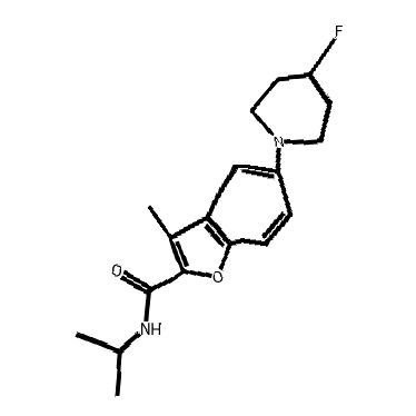 Cc1c(C(=O)NC(C)C)oc2ccc(N3CCC(F)CC3)cc12